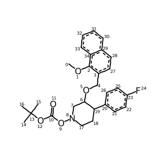 COc1c(COC2CN(OC(=O)OC(C)(C)C)CCC2c2ccc(F)cc2)ccc2ccccc12